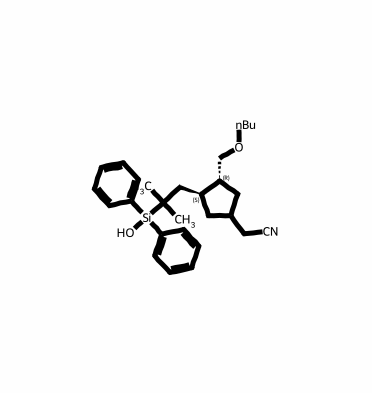 CCCCOC[C@@H]1CC(CC#N)C[C@H]1CC(C)(C)[Si](O)(c1ccccc1)c1ccccc1